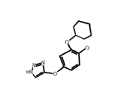 Clc1ccc(Oc2c[nH]nn2)cc1OC1CCCCC1